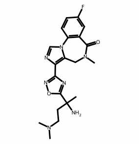 CN(C)CCC(C)(N)c1nc(-c2ncn3c2CN(C)C(=O)c2cc(F)ccc2-3)no1